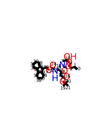 C=CCOC(=O)N(CC(=O)O)C[C@H](CCC(=O)OC(C)(C)C)NC(=O)OCC1c2ccccc2-c2ccccc21